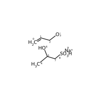 C=CC[O-].CC(O)CS(=O)(=O)O.[Na+]